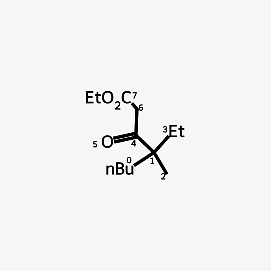 CCCCC(C)(CC)C(=O)CC(=O)OCC